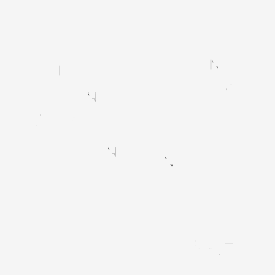 C=C(CNCc1cc(C(=O)O)ccn1)N(C)CCCc1cccn1C